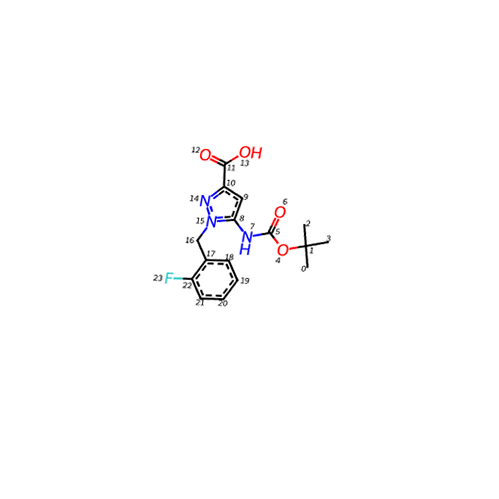 CC(C)(C)OC(=O)Nc1cc(C(=O)O)nn1Cc1ccccc1F